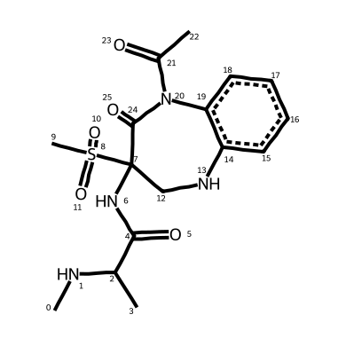 CNC(C)C(=O)NC1(S(C)(=O)=O)CNc2ccccc2N(C(C)=O)C1=O